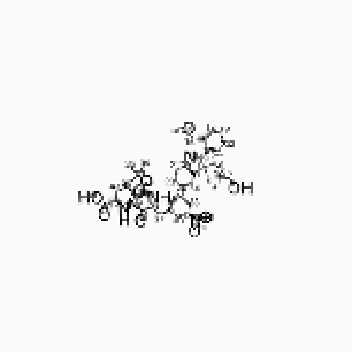 CCC1(CC(C)(C)CO)C(c2ccccc2COC)=Nc2ccc(-c3cc(C[C@H](NC(=O)OC(C)(C)C)C(=O)N4CCC[C@@H](C(=O)O)N4)cc([N+](=O)[O-])c3)cc21